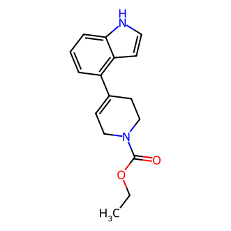 CCOC(=O)N1CC=C(c2cccc3[nH]ccc23)CC1